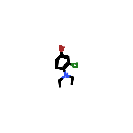 CCN(CC)c1ccc(Br)cc1Cl